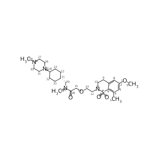 COc1cc(C)c2c(c1)CCN(CCOCC(=O)N(C)C[C@H]1CC[C@H](N3CCN(C)CC3)CC1)S2(=O)=O